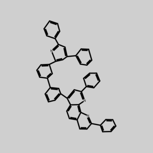 c1ccc(-c2cc(-c3ccccc3)nc(-c3cccc(-c4cccc(-c5cc(-c6ccccc6)nc6c5ccc5ccc(-c7ccccc7)nc56)c4)c3)c2)cc1